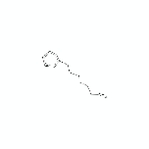 NCCC=CCCc1ccccc1